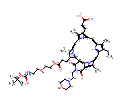 CCC1=C(C)c2cc3[nH]c(cc4nc(c5c6[nH]c(cc1n2)c(C)c6C(=O)N(CCN1CCOCC1)C5=O)[C@@H](CCC(=O)OCCOCCNC(=O)OC(C)(C)C)[C@@H]4C)c(C)c3/C=C/C(=O)O